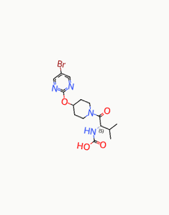 CC(C)[C@H](NC(=O)O)C(=O)N1CCC(Oc2ncc(Br)cn2)CC1